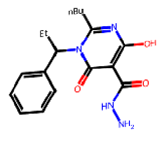 CCCCc1nc(O)c(C(=O)NN)c(=O)n1C(CC)c1ccccc1